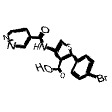 O=C(Nc1csc(-c2ccc(Br)cc2)c1C(=O)O)c1ccnnc1